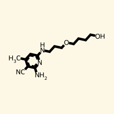 Cc1cc(NCCCOCCCCO)nc(N)c1C#N